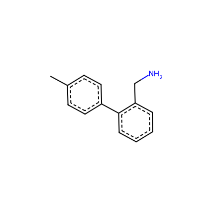 Cc1ccc(-c2ccccc2CN)cc1